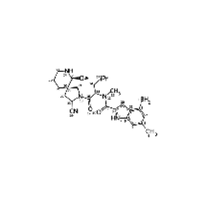 Bc1cc(C)cc2[nH]c(C(=O)N(C)C(CC(C)C)C(=O)N3C[C@]4(CCCNC4=O)CC3C#N)cc12